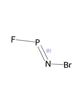 F/P=N/Br